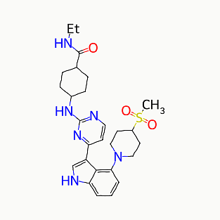 CCNC(=O)C1CCC(Nc2nccc(-c3c[nH]c4cccc(N5CCC(S(C)(=O)=O)CC5)c34)n2)CC1